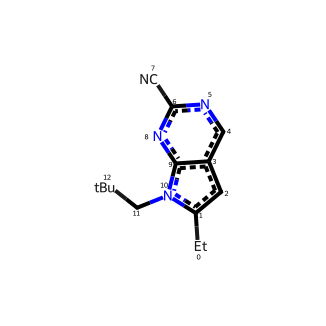 CCc1cc2cnc(C#N)nc2n1CC(C)(C)C